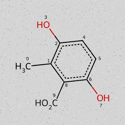 Cc1c(O)ccc(O)c1C(=O)O